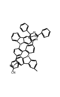 Cc1ccc2c(c1)c1cc(C(C)(C)C)ccc1n2-c1ccc(-c2nc(-c3ccccc3)nc(-c3ccccc3)n2)cc1-c1cc(-c2ccc(C#N)cc2)ccc1-n1c2ccccc2c2cc(C(C)(C)C)ccc21